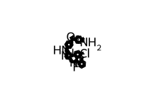 CC1(N)CCN(C(=O)c2ccc(Nc3ncc4c(n3)-c3ccc(Cl)cc3C(c3c(F)cccc3F)=NC4)cc2)CC1